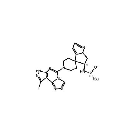 CC(C)(C)[S@@+]([O-])N[C@@H]1Cn2nccc2C12CCN(c1nc3[nH]nc(I)c3c3nncn13)CC2